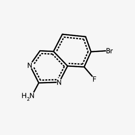 Nc1ncc2ccc(Br)c(F)c2n1